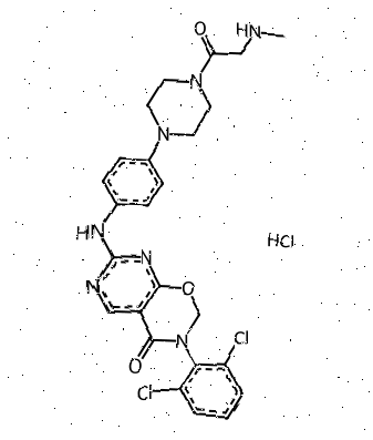 CNCC(=O)N1CCN(c2ccc(Nc3ncc4c(n3)OCN(c3c(Cl)cccc3Cl)C4=O)cc2)CC1.Cl